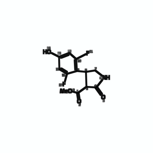 COC(=O)C1C(=O)NCC1c1c(F)cc(O)cc1F